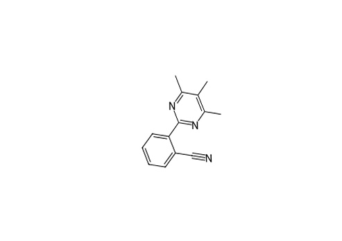 Cc1nc(-c2ccccc2C#N)nc(C)c1C